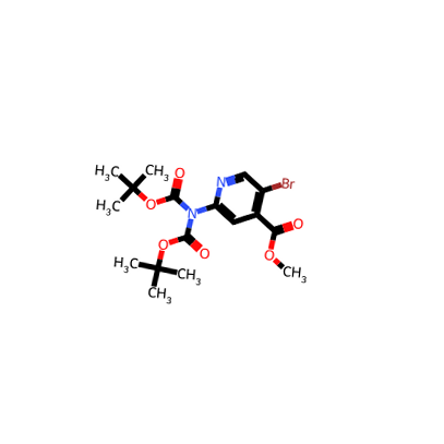 COC(=O)c1cc(N(C(=O)OC(C)(C)C)C(=O)OC(C)(C)C)ncc1Br